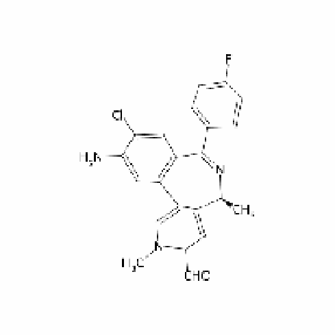 C[C@@H]1N=C(c2ccc(F)cc2)c2cc(Cl)c(N)cc2C2=CN(C)C(C=O)C=C21